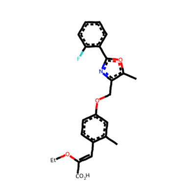 CCOC(=Cc1ccc(OCc2nc(-c3ccccc3F)oc2C)cc1C)C(=O)O